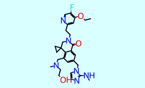 CCOc1cc(CCN2CC3(CC3)c3c(CN(C)CCO)cc(Cn4ccnc4NC)cc3C2=O)ncc1F